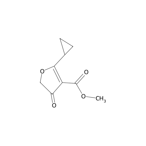 COC(=O)C1=C(C2CC2)OCC1=O